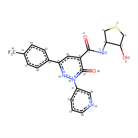 O=C(NC1CSCC1O)c1cc(-c2ccc(C(F)(F)F)cc2)nn(-c2cccnc2)c1=O